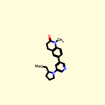 COCC1CCCN1c1cncc(-c2ccc3c(c2)CCC(=O)N3C)c1